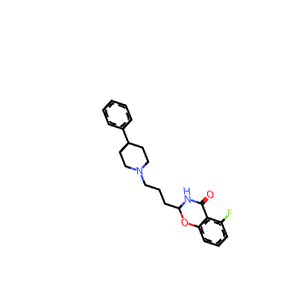 O=C1NC(CCCN2CCC(c3ccccc3)CC2)Oc2cccc(F)c21